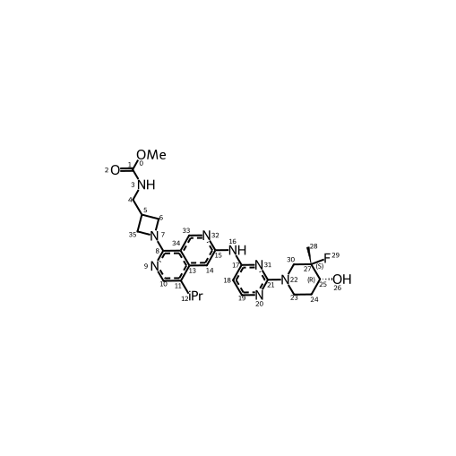 COC(=O)NCC1CN(c2ncc(C(C)C)c3cc(Nc4ccnc(N5CC[C@@H](O)[C@@](C)(F)C5)n4)ncc23)C1